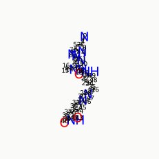 N#Cc1cnc2c(cnn2-c2cc(NC3CC3)c(C(=O)NC3CCC([C@H]4C[C@@H]4N4CCN(c5ccc(C6CCC(=O)NC6=O)cc5)CC4)CC3)cn2)c1